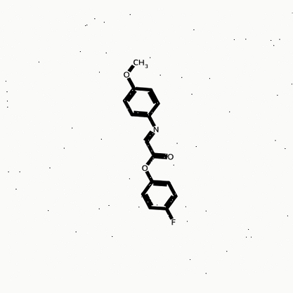 COc1ccc(N=CC(=O)Oc2ccc(F)cc2)cc1